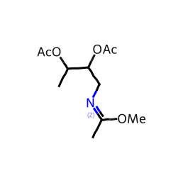 CO/C(C)=N\CC(OC(C)=O)C(C)OC(C)=O